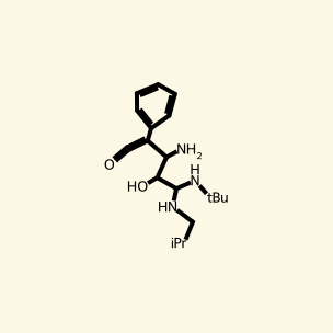 CC(C)CNC(NC(C)(C)C)C(O)C(N)C(=C=O)c1ccccc1